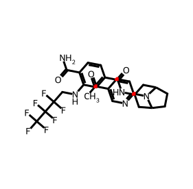 CC(=O)c1ccc(N2C3CCC2CC(NC(=O)c2ccc(C(N)=O)c(NCC(F)(F)C(F)(F)C(F)(F)F)c2)C3)nc1